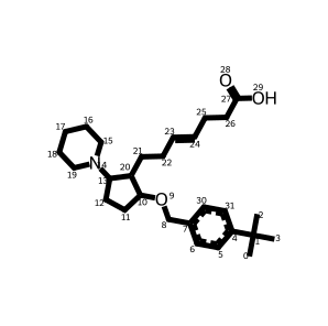 CC(C)(C)c1ccc(COC2CCC(N3CCCCC3)C2CC/C=C/CCC(=O)O)cc1